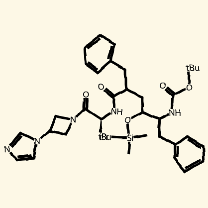 CC(C)[C@H](NC(=O)C(Cc1ccccc1)CC(O[Si](C)(C)C(C)(C)C)C(Cc1ccccc1)NC(=O)OC(C)(C)C)C(=O)N1CC(n2ccnc2)C1